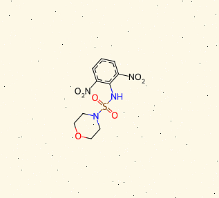 O=[N+]([O-])c1cccc([N+](=O)[O-])c1NS(=O)(=O)N1CCOCC1